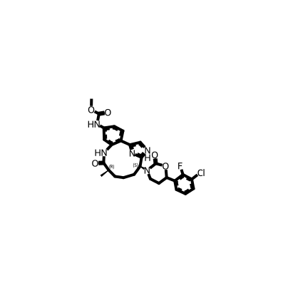 COC(=O)Nc1ccc2c(c1)NC(=O)[C@H](C)CCC[C@H](N1CCC(c3cccc(Cl)c3F)OC1=O)c1nc-2c[nH]1